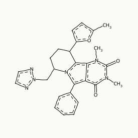 Cc1ccc(C2CCC(Cn3nccn3)n3c(-c4ccccc4)c4c(=O)n(C)c(=O)n(C)c4c32)o1